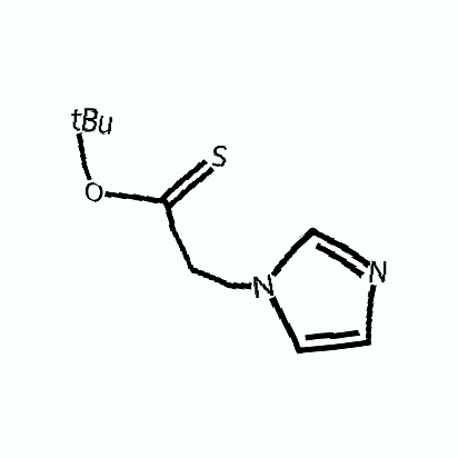 CC(C)(C)OC(=S)Cn1ccnc1